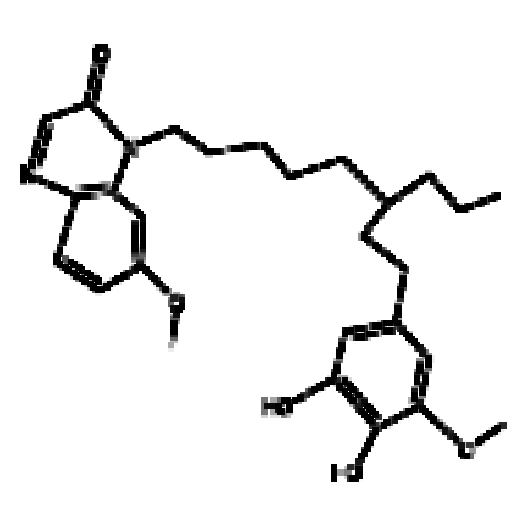 CCCC(CCCCCn1c(=O)cnc2ccc(OC)cc21)CCc1cc(O)c(O)c(OC)c1